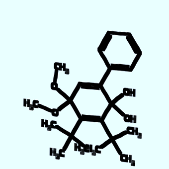 COC1(OC)C=C(c2ccccc2)C(O)(O)C(C(C)(C)C)=C1C(C)(C)C